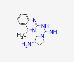 Cc1nc(NC(=N)N2CCC(N)C2)nc2ccccc12